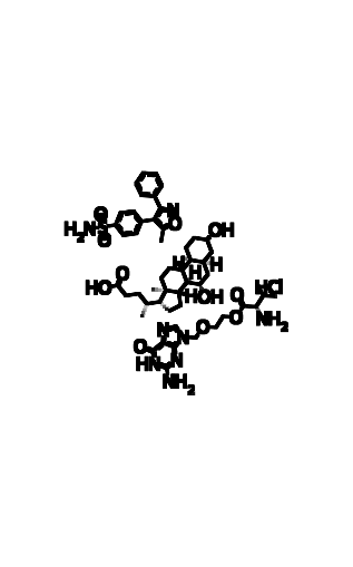 CC(C)[C@H](N)C(=O)OCCOCn1cnc2c(=O)[nH]c(N)nc21.C[C@H](CCC(=O)O)[C@H]1CC[C@H]2[C@@H]3[C@@H](O)C[C@@H]4C[C@H](O)CC[C@]4(C)[C@H]3CC[C@]12C.Cc1onc(-c2ccccc2)c1-c1ccc(S(N)(=O)=O)cc1.Cl